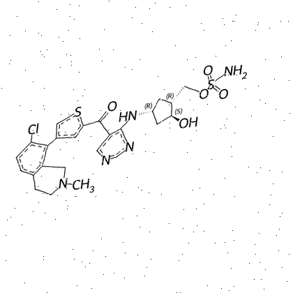 CN1CCc2ccc(Cl)c(-c3csc(C(=O)c4cncnc4N[C@@H]4C[C@H](COS(N)(=O)=O)[C@@H](O)C4)c3)c2C1